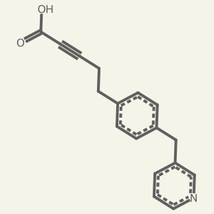 O=C(O)C#CCCc1ccc(Cc2cccnc2)cc1